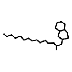 CCCCCCCCCCCCCC(C)CC1CCC2CCCCC2C1